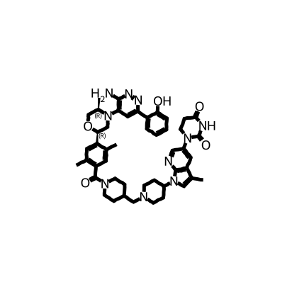 Cc1cc([C@@H]2CN(c3cc(-c4ccccc4O)nnc3N)[C@H](C)CO2)c(C)cc1C(=O)N1CCC(CN2CCC(n3cc(C)c4cc(N5CCC(=O)NC5=O)cnc43)CC2)CC1